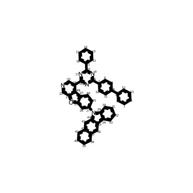 c1ccc(-c2ccc(-c3nc(-c4ccccc4)nc(-c4cncc5oc6cc(-n7c8ccccc8c8cc9ccccc9cc87)ccc6c45)n3)cc2)cc1